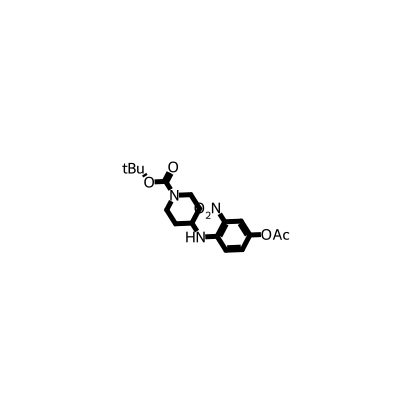 CC(=O)Oc1ccc(NC2CCN(C(=O)OC(C)(C)C)CC2)c([N+](=O)[O-])c1